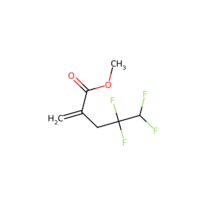 C=C(CC(F)(F)C(F)F)C(=O)OC